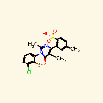 Cc1ccc(S(=O)(=O)O)c(-c2nc(C)n(-c3cccc(Cl)c3Br)c(=O)c2C)c1